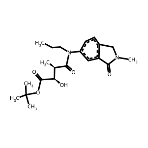 CCCN(C(=O)[C@H](C)[C@@H](O)C(=O)OC(C)(C)C)c1ccc2c(c1)C(=O)N(C)C2